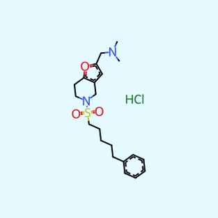 CN(C)Cc1cc2c(o1)CCN(S(=O)(=O)CCCCCc1ccccc1)C2.Cl